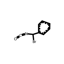 O=C=NC(Br)c1ccccc1